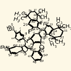 CC(C)(C)c1ccc(N2c3cc(N(c4c(F)cc5c(c4F)C(C)(C)CCC5(C)C)c4c(F)cc5c(c4F)C(C)(C)CCC5(C)C)cc4c3B(c3ccccc3O4)c3sc4ccc(C(C)(C)C)cc4c32)cc1